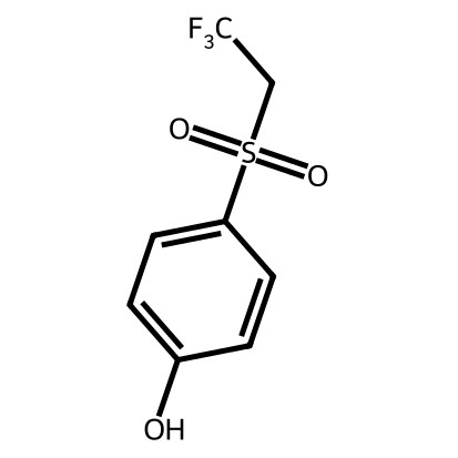 O=S(=O)(CC(F)(F)F)c1ccc(O)cc1